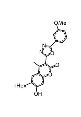 CCCCCCc1cc2c(C)c(-c3nnc(-c4cccc(OC)c4)o3)c(=O)oc2cc1O